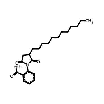 CCCCCCCCCCCCC1CC(=O)N(c2ccccc2C([NH])=O)C1=O